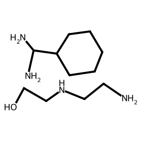 NC(N)C1CCCCC1.NCCNCCO